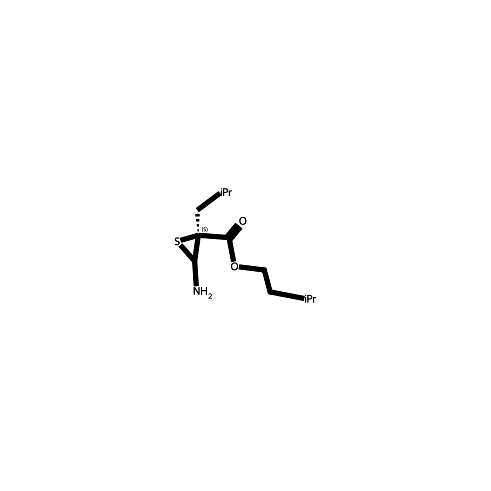 CC(C)CCOC(=O)[C@]1(CC(C)C)SC1N